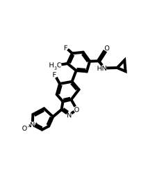 Cc1c(F)cc(C(=O)NC2CC2)cc1-c1cc2onc(-c3cc[n+]([O-])cc3)c2cc1F